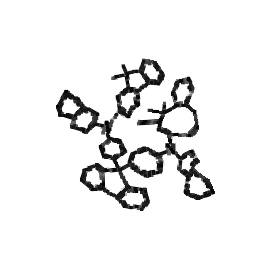 C=C1/C=C(N(c2ccc(C3(c4ccc(N(c5ccc6c(c5)C(C)(C)c5ccccc5-6)c5ccc6ccccc6c5)cc4)c4ccccc4-c4ccccc43)cc2)c2ccc3ccccc3c2)\C=C/Cc2ccccc2C1(C)C